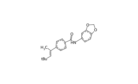 CC(=CC(C)(C)C)c1ccc(C(=O)Nc2ccc3c(c2)OCO3)cc1